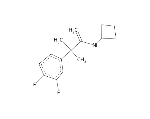 C=C(NC1CCC1)C(C)(C)c1ccc(F)c(F)c1